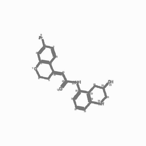 CC(C)c1ccc2c(c1)OCCC2=CC(=O)Nc1cccc2c1CC(O)CN2